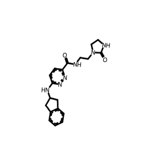 O=C(NCCN1CCNC1=O)c1ccc(NC2Cc3ccccc3C2)nn1